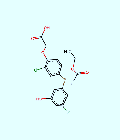 CCOC(C)=O.O=C(O)COc1ccc(Sc2cc(O)cc(Br)c2)cc1Cl